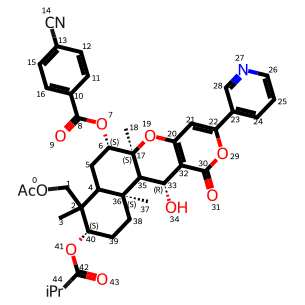 CC(=O)OCC1(C)C2C[C@H](OC(=O)c3ccc(C#N)cc3)[C@@]3(C)Oc4cc(-c5cccnc5)oc(=O)c4[C@H](O)C3[C@@]2(C)CC[C@@H]1OC(=O)C(C)C